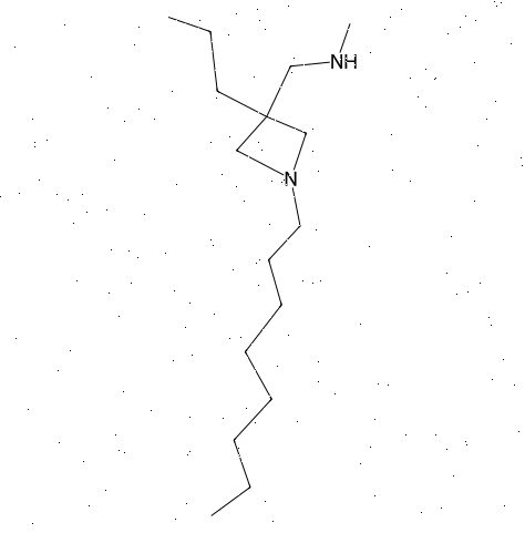 CCCCCCCCN1CC(CCC)(CNC)C1